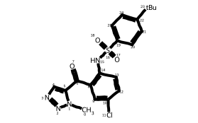 Cn1nncc1C(=O)c1cc(Cl)ccc1NS(=O)(=O)c1ccc(C(C)(C)C)cc1